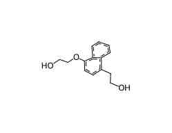 OCCOc1ccc(CCO)c2ccccc12